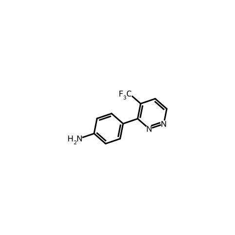 Nc1ccc(-c2nnccc2C(F)(F)F)cc1